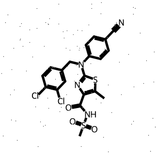 Cc1sc(N(Cc2ccc(Cl)c(Cl)c2)c2ccc(C#N)cc2)nc1C(=O)NS(C)(=O)=O